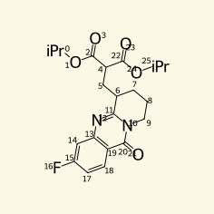 CC(C)OC(=O)C(CC1CCCn2c1nc1cc(F)ccc1c2=O)C(=O)OC(C)C